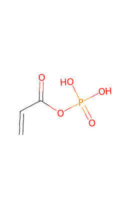 C=CC(=O)OP(=O)(O)O